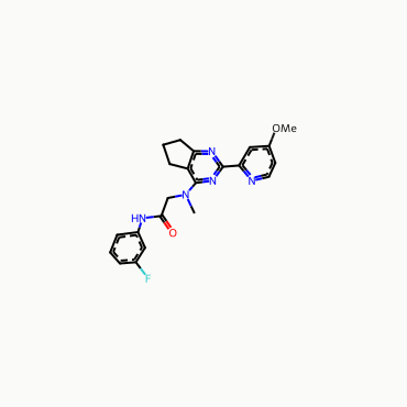 COc1ccnc(-c2nc3c(c(N(C)CC(=O)Nc4cccc(F)c4)n2)CCC3)c1